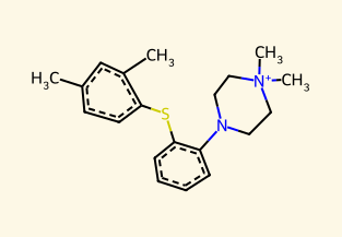 Cc1ccc(Sc2ccccc2N2CC[N+](C)(C)CC2)c(C)c1